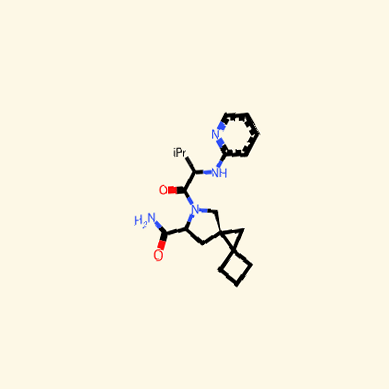 CC(C)C(Nc1ccccn1)C(=O)N1C[C@@]2(CC1C(N)=O)CC21CCC1